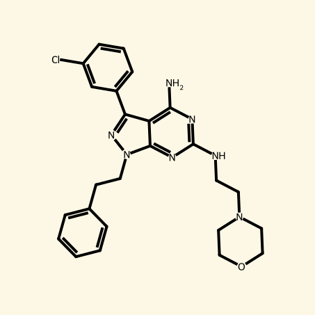 Nc1nc(NCCN2CCOCC2)nc2c1c(-c1cccc(Cl)c1)nn2CCc1ccccc1